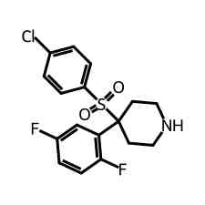 O=S(=O)(c1ccc(Cl)cc1)C1(c2cc(F)ccc2F)CCNCC1